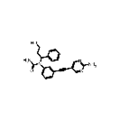 NC(=O)N(c1cccc(C#Cc2cnc(N)nc2)c1)C(CCO)c1ccccc1